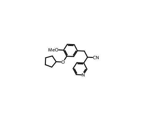 COc1ccc(CC(C#N)c2cccnc2)cc1OC1CCCC1